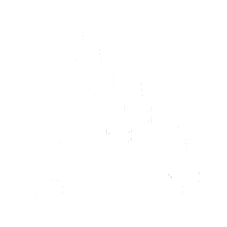 CN1c2ccccc2Sc2ccc(-c3c4ccccc4c(-c4ccc5c(c4)-c4ccccc4C5(C)C)c4cc(-c5ccc6c(c5)C(C)(C)c5ccccc5-6)ccc34)cc21